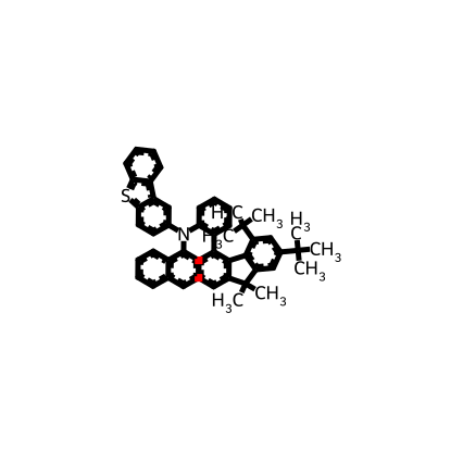 CC(C)(C)c1cc(C(C)(C)C)c2c(c1)C(C)(C)c1cccc(-c3ccccc3N(c3ccc4sc5ccccc5c4c3)c3cccc4ccccc34)c1-2